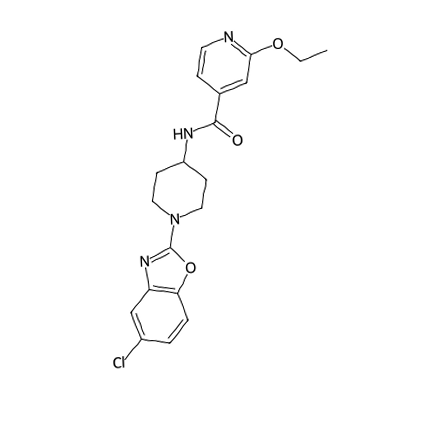 CCOc1cc(C(=O)NC2CCN(c3nc4cc(Cl)ccc4o3)CC2)ccn1